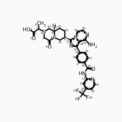 CC(C(=O)O)N1CC(=O)N2C[C@H](c3nc(-c4ccc(C(=O)Nc5cc(C(F)(F)F)ccn5)cc4)c4c(N)nccn34)CC[C@H]2C1